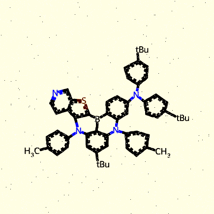 Cc1ccc(N2c3cc(N(c4ccc(C(C)(C)C)cc4)c4ccc(C(C)(C)C)cc4)ccc3B3c4sc5cnccc5c4N(c4ccc(C)cc4)c4cc(C(C)(C)C)cc2c43)cc1